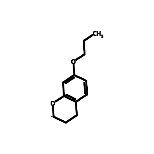 CCCOc1ccc2c(c1)O[CH]CC2